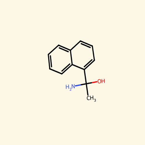 CC(N)(O)c1cccc2ccccc12